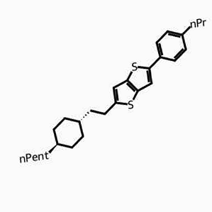 CCCCC[C@H]1CC[C@H](CCc2cc3sc(-c4ccc(CCC)cc4)cc3s2)CC1